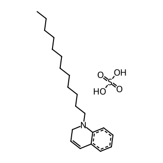 CCCCCCCCCCCCN1CC=Cc2ccccc21.O=S(=O)(O)O